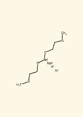 COCC[O][AlH][O]CCOC.[H+].[H+].[NaH]